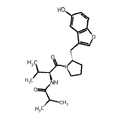 CC(C)C(=O)N[C@H](C(=O)N1CCC[C@H]1Cc1coc2ccc(O)cc12)C(C)C